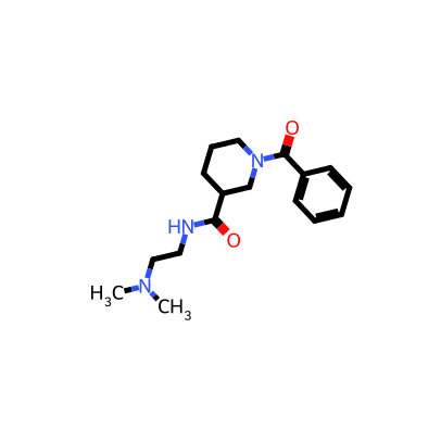 CN(C)CCNC(=O)C1CCCN(C(=O)c2ccccc2)C1